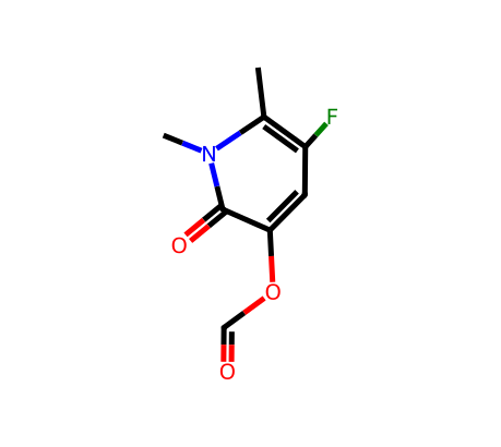 Cc1c(F)cc(OC=O)c(=O)n1C